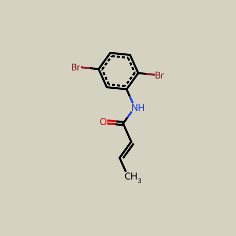 CC=CC(=O)Nc1cc(Br)ccc1Br